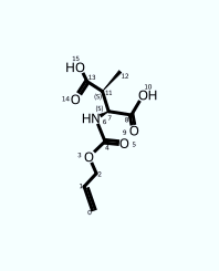 C=CCOC(=O)N[C@H](C(=O)O)[C@H](C)C(=O)O